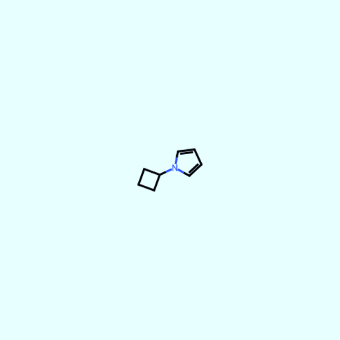 c1ccn(C2CCC2)c1